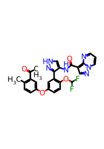 CC(=O)c1cc(Oc2ccc(OC(F)F)c(-c3n[nH]cc3NC(=O)c3cnn4cccnc34)c2)ccc1C